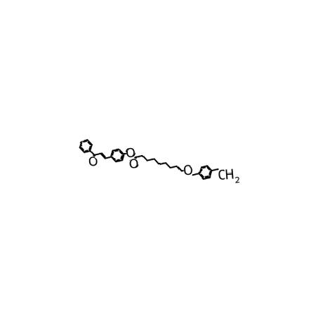 C=Cc1ccc(COCCCCCCCCC(=O)Oc2ccc(C=CC(=O)c3ccccc3)cc2)cc1